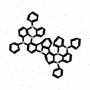 c1ccc(N2c3ccccc3B3c4c2cccc4N(c2ccccc2)c2ccc4c(c23)c2cccc3c5c6c(ccc5n4c23)N(c2ccccc2)c2cccc3c2B6c2ccccc2N3c2ccccc2)cc1